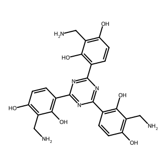 NCc1c(O)ccc(-c2nc(-c3ccc(O)c(CN)c3O)nc(-c3ccc(O)c(CN)c3O)n2)c1O